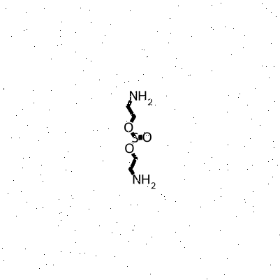 NCCOS(=O)OCCN